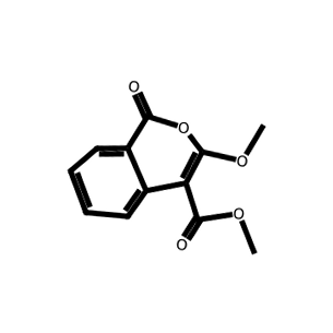 COC(=O)c1c(OC)oc(=O)c2ccccc12